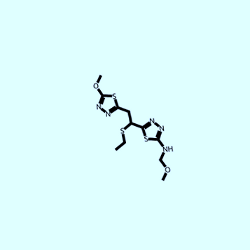 CCSC(Cc1nnc(OC)s1)c1nnc(NCOC)s1